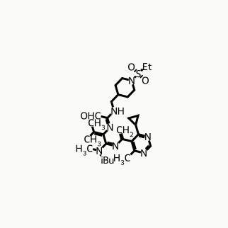 C=C(/N=C(\C(/N=C(\C=O)NCC1CCN(S(=O)(=O)CC)CC1)=C(C)C)N(C)[C@H](C)CC)c1c(C)ncnc1C1CC1